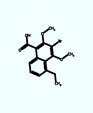 CCc1cccc2c(C(=O)O)c(OC)c(Br)c(OC)c12